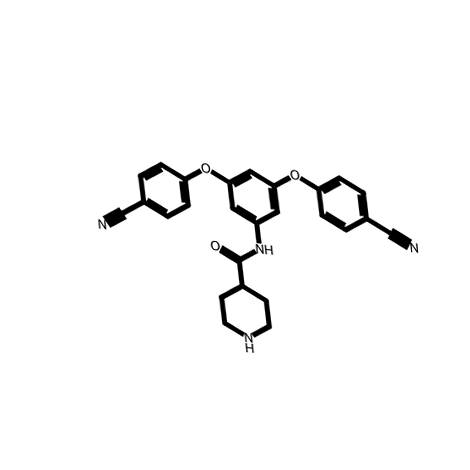 N#Cc1ccc(Oc2cc(NC(=O)C3CCNCC3)cc(Oc3ccc(C#N)cc3)c2)cc1